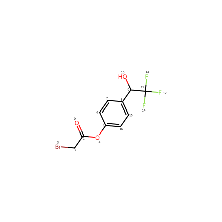 O=C(CBr)Oc1ccc(C(O)C(F)(F)F)cc1